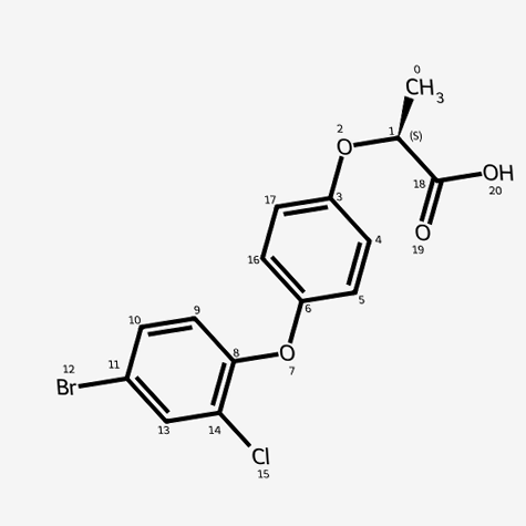 C[C@H](Oc1ccc(Oc2ccc(Br)cc2Cl)cc1)C(=O)O